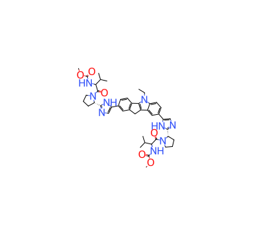 CCn1c2c(c3cc(-c4cnc([C@@H]5CCCN5C(=O)[C@@H](NC(=O)OC)C(C)C)[nH]4)ccc31)Cc1cc(-c3cnc([C@@H]4CCCN4C(=O)C(NC(=O)OC)C(C)C)[nH]3)ccc1-2